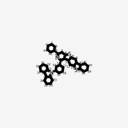 c1ccc(-c2cc3sc4cc5c(cc4c3c(-c3cccc(-n4c6ccccc6c6ccccc64)c3)n2)sc2ccccc25)cc1